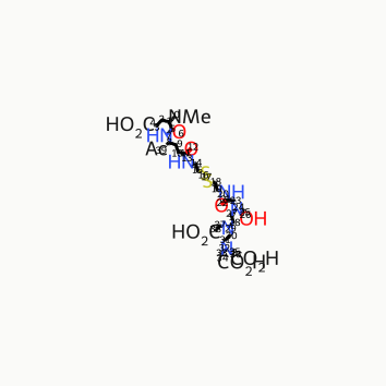 CNC(CCC(=O)O)C(=O)NC(CCC(=O)NCCSSCCNC(=O)CN(CO)CCN(CCN(CC(=O)O)CC(=O)O)CC(=O)O)C(C)=O